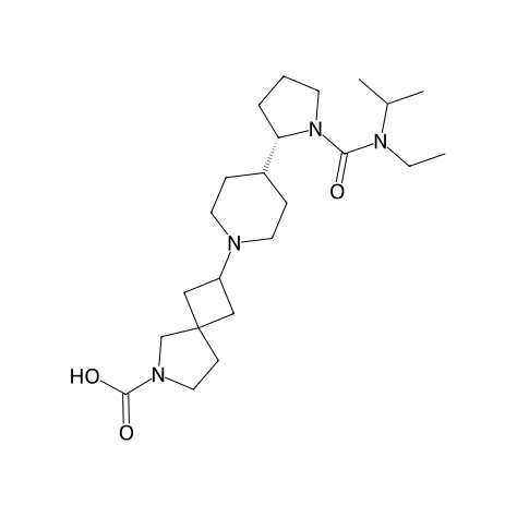 CCN(C(=O)N1CCC[C@H]1C1CCN(C2CC3(CCN(C(=O)O)C3)C2)CC1)C(C)C